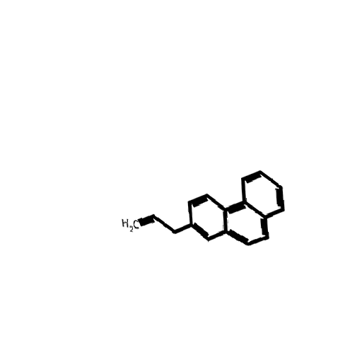 C=CCc1[c]c2ccc3ccccc3c2cc1